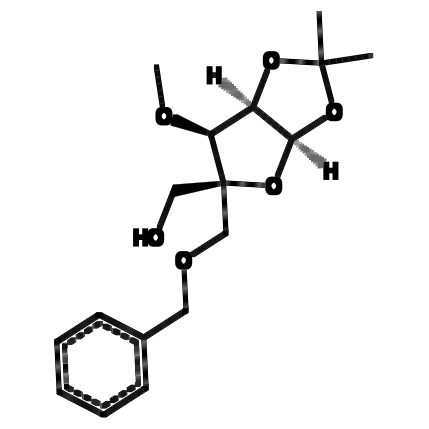 CO[C@H]1[C@H]2OC(C)(C)O[C@H]2O[C@]1(CO)COCc1ccccc1